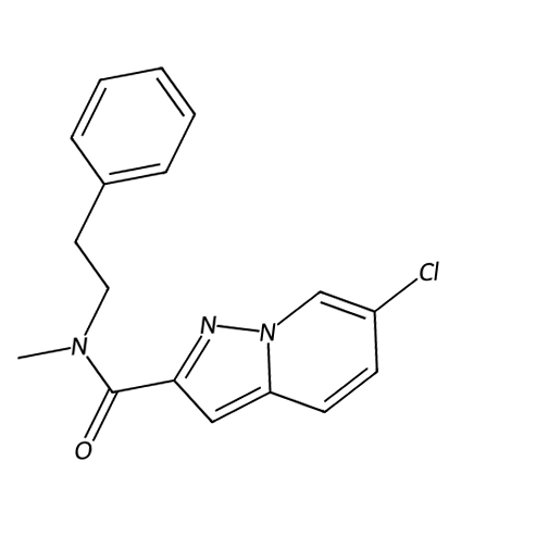 CN(CCc1ccccc1)C(=O)c1cc2ccc(Cl)cn2n1